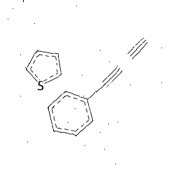 C#C.C#Cc1ccccc1.c1ccsc1